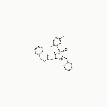 [CH2]c1ccc(C)cc1NC(=O)[C@@H](Cc1ccccc1)NC(=O)CNC[C@H](C)c1ccccc1